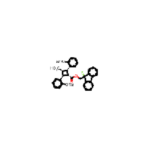 COc1ccccc1[C@H]1[C@H](C(=O)O)[C@H](c2ccccc2OC)[C@H]1C(=O)OCC1(F)c2ccccc2-c2ccccc21